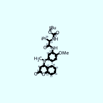 COc1ccc(N(C)c2cc(=O)oc3ccccc23)cc1NC(=O)C(NC(=O)OC(C)(C)C)C(C)C